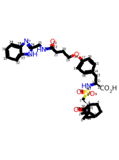 CC1(C)C2CC[C@]1(CS(=O)(=O)N[C@@H](Cc1ccc(OCCCC(=O)NCc3nc4ccccc4[nH]3)cc1)C(=O)O)C(=O)C2